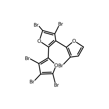 Brc1ccoc1-c1c(-c2oc(Br)c(Br)c2Br)oc(Br)c1Br